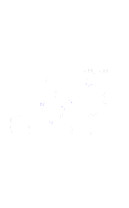 C=C1/C=C\C=C/C/N=C(/c2ccccc2-c2nc(-c3ccccc3)nc(-c3ccccc3)n2)N1C